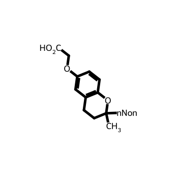 CCCCCCCCCC1(C)CCc2cc(OCC(=O)O)ccc2O1